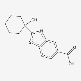 O=C(O)c1ccc2sc(C3(O)CCCCC3)nc2c1